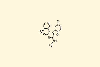 Cc1ccncc1-n1c(=O)nc(NC2CC2)c2oc3ccc(Cl)cc3c21